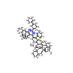 Cc1cc2ccccc2cc1-c1c(C(C)c2ccc(-c3nc(-c4cccc(-c5ccccc5)c4)nc(-c4cc5c(c6ccccc46)CCC=C5)c3C)c3c2sc2ccccc23)ccc2ccccc12